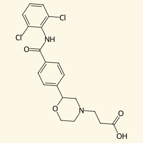 O=C(O)CCN1CCOC(c2ccc(C(=O)Nc3c(Cl)cccc3Cl)cc2)C1